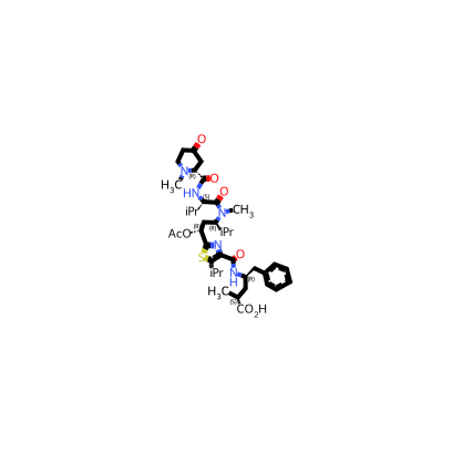 CC(=O)O[C@H](C[C@H](C(C)C)N(C)C(=O)[C@@H](NC(=O)[C@H]1CC(=O)CCN1C)C(C)C)c1nc(C(=O)N[C@@H](Cc2ccccc2)C[C@H](C)C(=O)O)c(C(C)C)s1